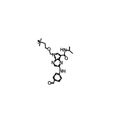 CC(C)NC(=O)c1cn(COCC[Si](C)(C)C)c2ncc(Nc3ccc(C=O)cc3)nc12